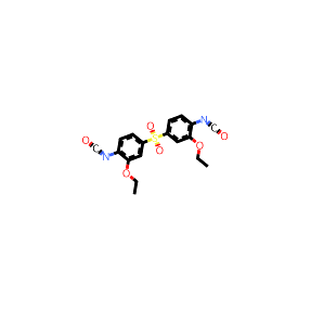 CCOc1cc(S(=O)(=O)c2ccc(N=C=O)c(OCC)c2)ccc1N=C=O